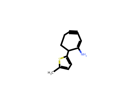 Cc1ccc(C2CCC#CC=C2N)s1